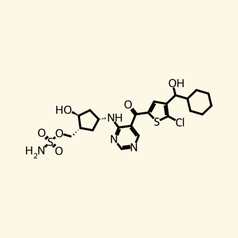 NS(=O)(=O)OC[C@H]1C[C@@H](Nc2ncncc2C(=O)c2cc(C(O)C3CCCCC3)c(Cl)s2)C[C@@H]1O